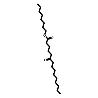 CCCCCCCCCC(=O)CCCCC(=O)OCCCCCCCC